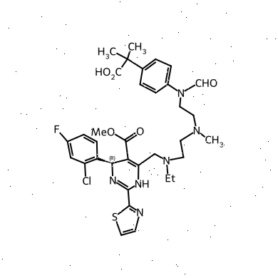 CCN(CCN(C)CCN(C=O)c1ccc(C(C)(C)C(=O)O)cc1)CC1=C(C(=O)OC)[C@H](c2ccc(F)cc2Cl)N=C(c2nccs2)N1